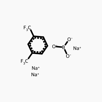 FC(F)(F)c1cccc(C(F)(F)F)c1.[Na+].[Na+].[Na+].[O-]B([O-])[O-]